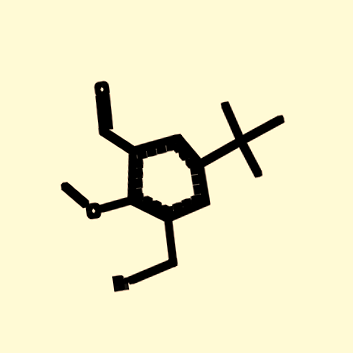 COc1c(C=O)cc(C(C)(C)C)cc1CBr